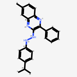 Cc1ccc2nc(-c3ccccc3)c(NNc3ccc(C(C)C)cc3)nc2c1